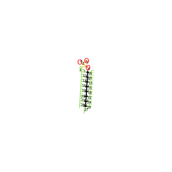 O=S(=O)(F)OC(F)(F)C(F)(F)C(F)(F)C(F)(F)C(F)(F)C(F)(F)C(F)(F)C(F)(F)F